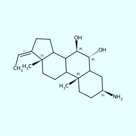 C/C=C1/CCC2C3C(CC[C@]12C)[C@@]1(C)CC[C@H](N)CC1[C@@H](O)[C@@H]3O